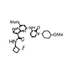 CNc1cc(Nc2cccn([C@H]3CC[C@H](OC)CC3)c2=O)nc2c(C(=O)NC3CC[C@H]3F)cnn12